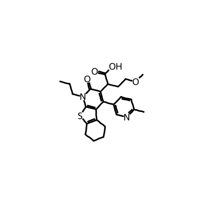 CCCn1c(=O)c(C(CCOC)C(=O)O)c(-c2ccc(C)nc2)c2c3c(sc21)CCCC3